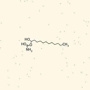 CCCCCCCCCCCC(O)OP(N)O